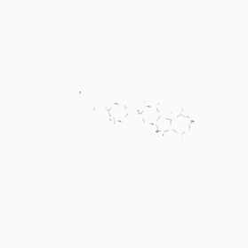 OCCOc1ccc(-c2ccc3c(c2)[nH]c2ccncc23)cn1